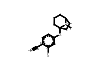 CN1C2CCCC1(Oc1ccc(C#N)c(F)c1)CC2